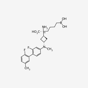 Cc1ccc(F)c(-c2ccc(N(C)[C@H]3C[C@H]([C@@](N)(CCCCB(O)O)C(=O)O)C3)cc2F)c1